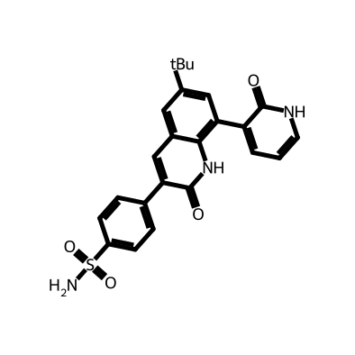 CC(C)(C)c1cc(-c2ccc[nH]c2=O)c2[nH]c(=O)c(-c3ccc(S(N)(=O)=O)cc3)cc2c1